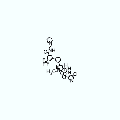 CCn1nc(-c2cccc(-c3cc(C(=O)NCCN4CCCCC4)cc(C(F)(F)F)c3)c2)cc(NC(=O)Nc2c(Cl)cncc2Cl)c1=O